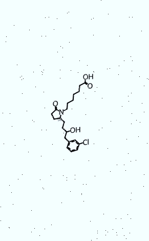 O=C(O)CCCCCCN1C(=O)CC[C@@H]1CCC(O)Cc1cccc(Cl)c1